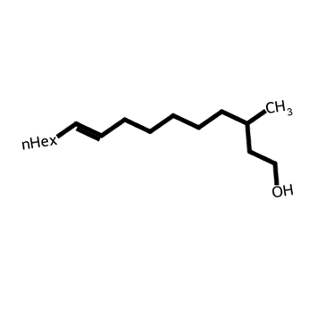 CCCCCC/C=C/CCCCCC(C)CCO